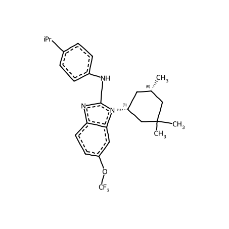 CC(C)c1ccc(Nc2nc3ccc(OC(F)(F)F)cc3n2[C@@H]2C[C@H](C)CC(C)(C)C2)cc1